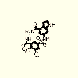 NC(=O)c1cc(S(=O)(=O)Nc2cc(C(N)=O)c3cc[nH]c3c2)cc(Cl)c1O